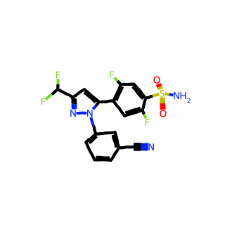 N#Cc1cccc(-n2nc(C(F)F)cc2-c2cc(F)c(S(N)(=O)=O)cc2F)c1